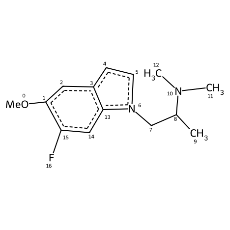 COc1cc2ccn(CC(C)N(C)C)c2cc1F